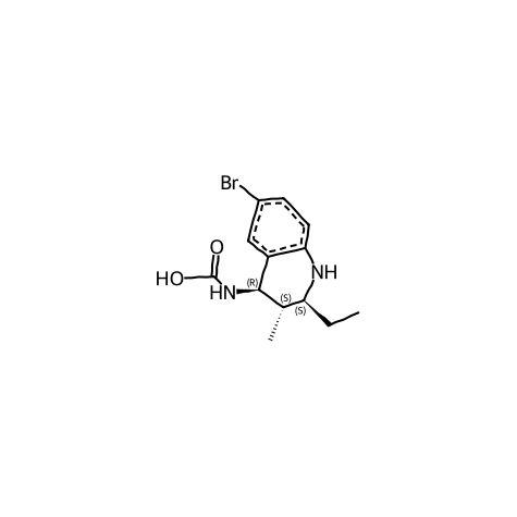 CC[C@@H]1Nc2ccc(Br)cc2[C@H](NC(=O)O)[C@H]1C